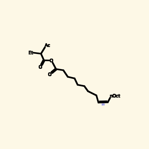 CCCCCCCC/C=C\CCCCCCCC(=O)OC(=O)C(CC)C(C)=O